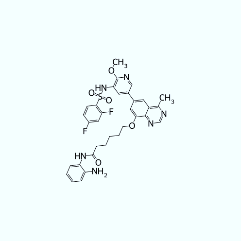 COc1ncc(-c2cc(OCCCCCC(=O)Nc3ccccc3N)c3ncnc(C)c3c2)cc1NS(=O)(=O)c1ccc(F)cc1F